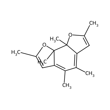 CC1=CC2=C(C)C(C)=C3C=C(C)OC3(C)C2(C)O1